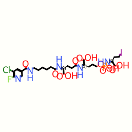 O=C(CC[C@H](NC(=O)CCCCCNC(=O)c1cnc(F)c(Cl)c1)C(=O)O)N[C@@H](CCCOP(=O)(O)N[C@@H](CCI)C(=O)O)C(=O)O